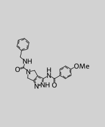 COc1ccc(C(=O)Nc2[nH]nc3c2CN(C(=O)NCc2ccccc2)C3)cc1